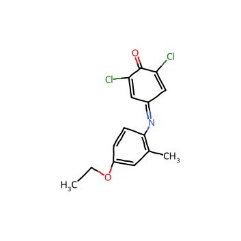 CCOc1ccc(N=C2C=C(Cl)C(=O)C(Cl)=C2)c(C)c1